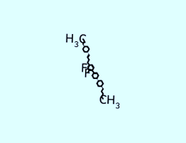 CCCCC[C@H]1CC[C@H](C2CC=C(c3ccc(CC/C=C/[C@H]4CC[C@H](CCC)CC4)c(F)c3F)CC2)CC1